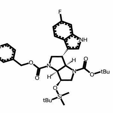 CC(C)(C)OC(=O)N1C[C@@H](O[Si](C)(C)C(C)(C)C)[C@@H]2[C@H]1[C@@H](c1c[nH]c3cc(F)ccc13)CN2C(=O)OCc1ccccc1